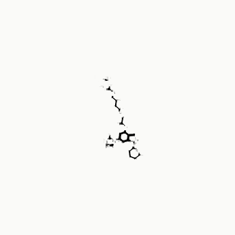 Cc1nncn1-c1cc(NC(=O)COCCCCNC(=O)OC(C)(C)C)c2cnn(C3CCCCO3)c2c1